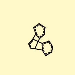 C1=C[C]2c3ccccc3C23C=1c1ccccc13